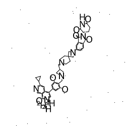 [2H]C([2H])([2H])n1cc(-c2cc(OC)c(CN3CC(CN4CCC5(CC4)CN(c4ccc6c(c4)C(=O)N(C4CCC(=O)NC4=O)C6=O)C5)C3)c(OC)c2)c2cc(C3CC3)ncc2c1=O